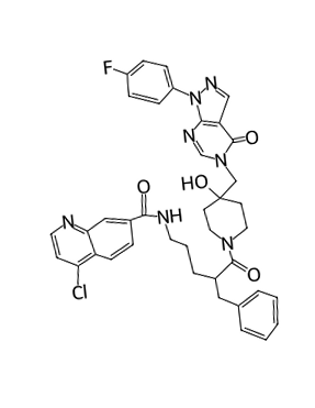 O=C(NCCCC(Cc1ccccc1)C(=O)N1CCC(O)(Cn2cnc3c(cnn3-c3ccc(F)cc3)c2=O)CC1)c1ccc2c(Cl)ccnc2c1